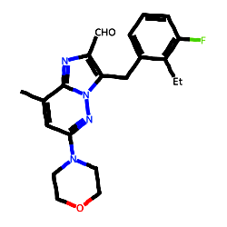 CCc1c(F)cccc1Cc1c(C=O)nc2c(C)cc(N3CCOCC3)nn12